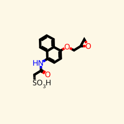 O=C(CS(=O)(=O)O)Nc1ccc(OCC2CO2)c2ccccc12